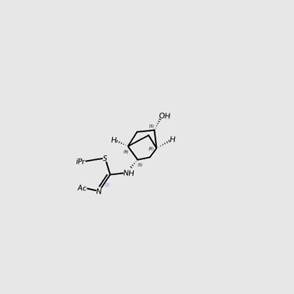 CC(=O)/N=C(/N[C@H]1C[C@H]2C[C@@H]1C[C@@H]2O)SC(C)C